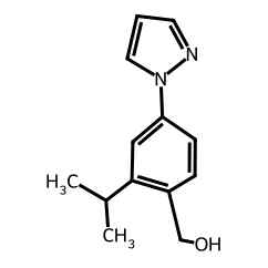 CC(C)c1cc(-n2cccn2)ccc1CO